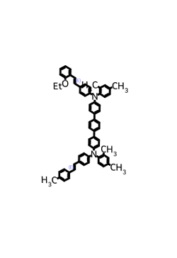 CCOc1ccccc1/C=C/c1ccc(N(c2ccc(-c3ccc(-c4ccc(N(c5ccc(/C=C/c6ccc(C)cc6)cc5)c5ccc(C)cc5C)cc4)cc3)cc2)c2ccc(C)cc2C)cc1